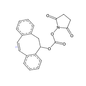 O=C(OC1Cc2ccccc2/C=C\c2ccccc21)ON1C(=O)CCC1=O